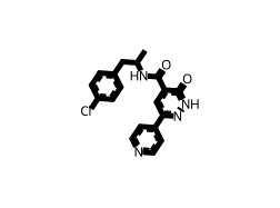 CC(Cc1ccc(Cl)cc1)NC(=O)c1cc(-c2ccncc2)n[nH]c1=O